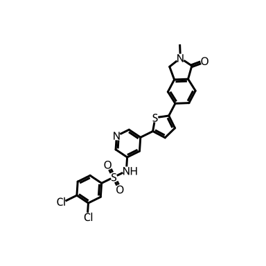 CN1Cc2cc(-c3ccc(-c4cncc(NS(=O)(=O)c5ccc(Cl)c(Cl)c5)c4)s3)ccc2C1=O